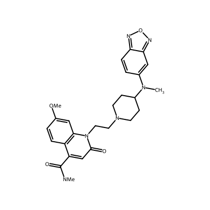 CNC(=O)c1cc(=O)n(CCN2CCC(N(C)c3ccc4nonc4c3)CC2)c2cc(OC)ccc12